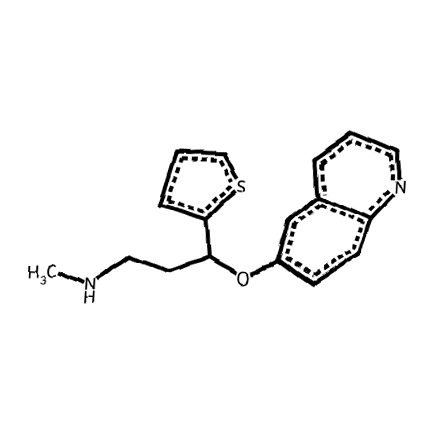 CNCCC(Oc1ccc2ncccc2c1)c1cccs1